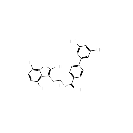 C=C(NCCc1c(C)[nH]c2c(F)ccc(C)c12)c1ccc(-c2cc(C)cc(C)c2)cc1